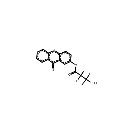 O=C(O)C(F)(F)C(F)(F)C(=O)Oc1ccc2sc3ccccc3c(=O)c2c1